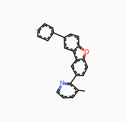 Cc1cccnc1-c1ccc2oc3ccc(-c4cc[c]cc4)cc3c2c1